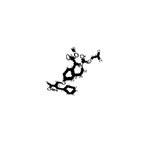 COC(=O)C1c2ccc(OCc3c(-c4ccccc4)noc3C)cc2CCN1C(=O)OCC(C)C